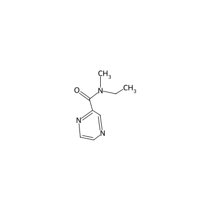 CCN(C)C(=O)c1cnccn1